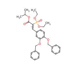 CCOP(=O)(OCC)/C(=C\c1ccc(OCc2ccccc2)c(OCc2ccccc2)c1)C(=O)OC(C)C